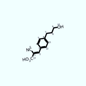 N#C/C(=C\c1ccc(CCCO)cc1)C(=O)O